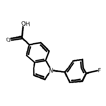 O=C(O)c1ccc2c(ccn2-c2ccc(F)cc2)c1